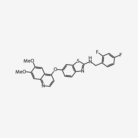 COc1cc2nccc(Oc3ccc4nc(NCc5ccc(F)cc5F)sc4c3)c2cc1OC